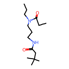 CCCN(CCCNC(=O)CC(C)(C)C)C(=O)CC